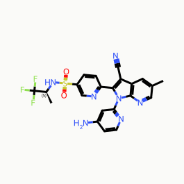 Cc1cnc2c(c1)c(C#N)c(-c1ccc(S(=O)(=O)N[C@@H](C)C(F)(F)F)cn1)n2-c1cc(N)ccn1